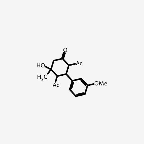 COc1cccc(C2C(C(C)=O)C(=O)CC(C)(O)C2C(C)=O)c1